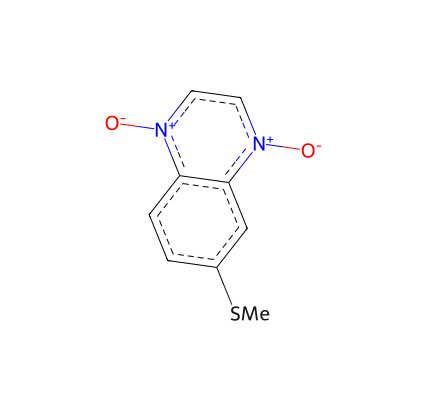 CSc1ccc2c(c1)[n+]([O-])cc[n+]2[O-]